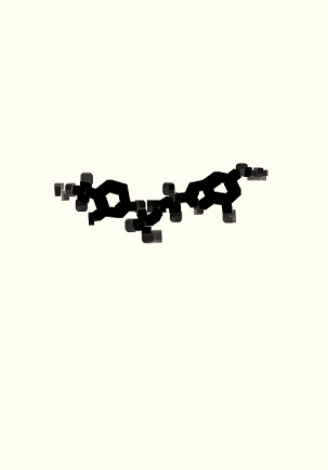 CCCOc1cc(Cl)c2sc(S(=O)(=O)NCP(=O)(O)Oc3ccc(S(=O)(=O)C(F)(F)F)c(F)c3)cc2c1